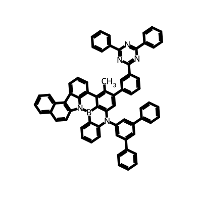 Cc1c(-c2cccc(-c3nc(-c4ccccc4)nc(-c4ccccc4)n3)c2)cc2c3c1-c1cccc4c5c6ccccc6ccc5n(c14)B3c1ccccc1N2c1cc(-c2ccccc2)cc(-c2ccccc2)c1